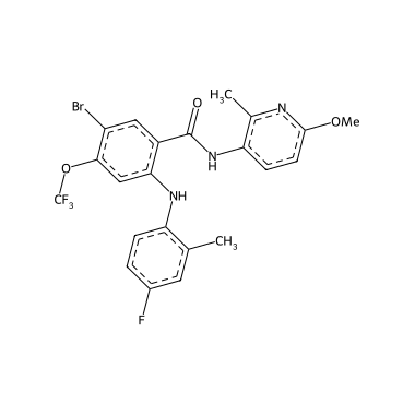 COc1ccc(NC(=O)c2cc(Br)c(OC(F)(F)F)cc2Nc2ccc(F)cc2C)c(C)n1